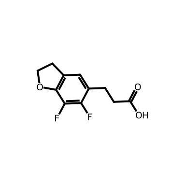 O=C(O)CCc1cc2c(c(F)c1F)OCC2